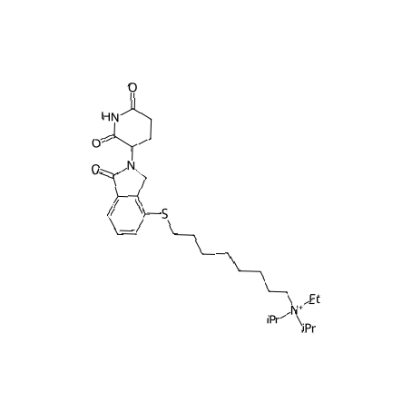 CC[N+](CCCCCCCCSc1cccc2c1CN(C1CCC(=O)NC1=O)C2=O)(C(C)C)C(C)C